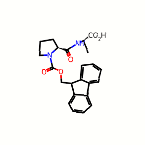 C[C@@H](NC(=O)[C@@H]1CCCN1C(=O)OCC1c2ccccc2-c2ccccc21)C(=O)O